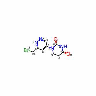 O=C1CCN(c2cnnc(CBr)c2)C(=O)N1